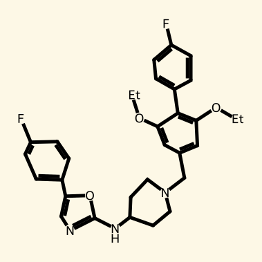 CCOc1cc(CN2CCC(Nc3ncc(-c4ccc(F)cc4)o3)CC2)cc(OCC)c1-c1ccc(F)cc1